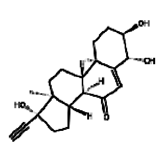 C#C[C@]1(O)CC[C@H]2[C@@H]3C(=O)C=C4[C@@H](O)[C@H](O)CC[C@]4(C)[C@H]3CC[C@@]21C